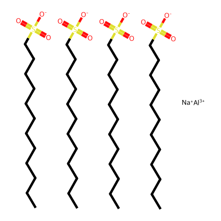 CCCCCCCCCCCCS(=O)(=O)[O-].CCCCCCCCCCCCS(=O)(=O)[O-].CCCCCCCCCCCCS(=O)(=O)[O-].CCCCCCCCCCCCS(=O)(=O)[O-].[Al+3].[Na+]